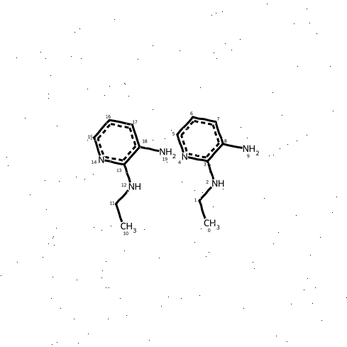 CCNc1ncccc1N.CCNc1ncccc1N